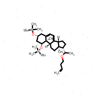 C=CCCOC(C)[C@H]1CC[C@H]2C3=CC=C4C[C@@H](O[Si](C)(C)C(C)(C)C)C[C@H](O[Si](C)(C)C(C)(C)C)[C@]4(C)[C@H]3CC[C@]12C